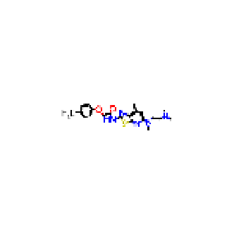 Cc1cc(N(C)CCN(C)C)nc2sc(NC(=O)COc3ccc(C(F)(F)F)cc3)nc12